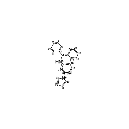 c1ccc(CNc2nc(-n3ccnc3)ncc2-c2cccnc2)cc1